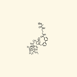 C[C@@H]1[C@@H](NC(=O)[C@@H]2[C@H]([C@H](C)O)[C@H](CO)ON2Cc2cccc(-c3cccc(C(=O)NCCCNC(=O)OC(C)(C)C)c3)c2)C[C@H]2C[C@@H]1C2(C)C